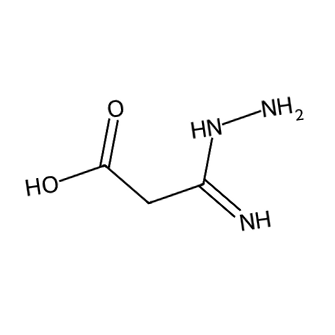 N=C(CC(=O)O)NN